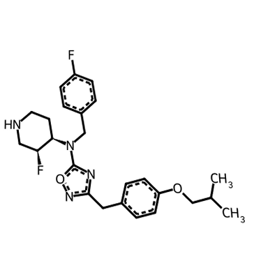 CC(C)COc1ccc(Cc2noc(N(Cc3ccc(F)cc3)[C@@H]3CCNC[C@@H]3F)n2)cc1